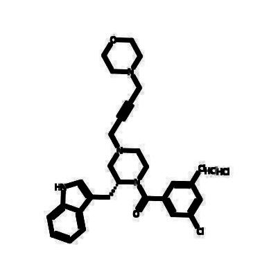 Cl.Cl.O=C(c1cc(Cl)cc(Cl)c1)N1CCN(CC#CCN2CCOCC2)C[C@H]1Cc1c[nH]c2ccccc12